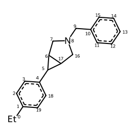 CCc1ccc(C2C3CN(Cc4ccccc4)CC32)cc1